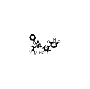 COC(=O)C(C)N[P@@](=O)(OC[C@H]1O[C@@H](n2ccc(=O)[nH]c2=O)[C@](C)(F)[C@@H]1O)Oc1ccccc1